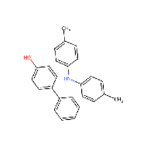 Cc1ccc(Nc2ccc(C)cc2)cc1.Oc1ccc(-c2ccccc2)cc1